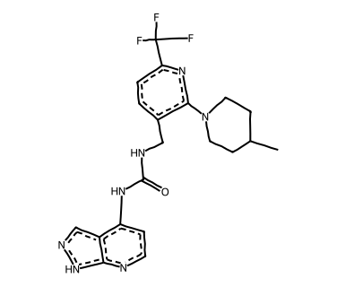 CC1CCN(c2nc(C(F)(F)F)ccc2CNC(=O)Nc2ccnc3[nH]ncc23)CC1